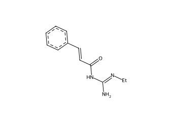 CCN=C(N)NC(=O)C=Cc1ccccc1